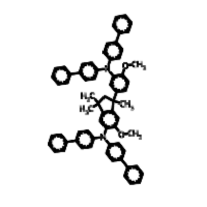 COc1ccc(C2(C)CC(C)(C)c3cc(N(c4ccc(-c5ccccc5)cc4)c4ccc(-c5ccccc5)cc4)c(OC)cc32)cc1N(c1ccc(-c2ccccc2)cc1)c1ccc(-c2ccccc2)cc1